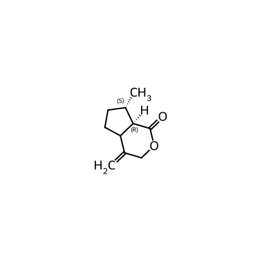 C=C1COC(=O)[C@H]2C1CC[C@@H]2C